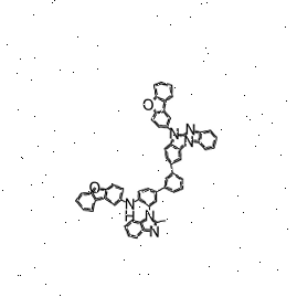 Cc1nc2ccccc2n1-c1cc(-c2cccc(-c3ccc4c(c3)n3c5ccccc5nc3n4-c3ccc4oc5ccccc5c4c3)c2)ccc1Nc1ccc2oc3ccccc3c2c1